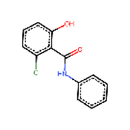 O=C(Nc1ccccc1)c1c(O)cccc1Cl